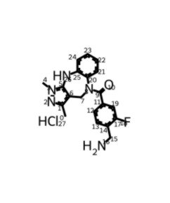 Cc1nn(C)c2c1CN(C(=O)c1ccc(CN)c(F)c1)c1ccccc1N2.Cl